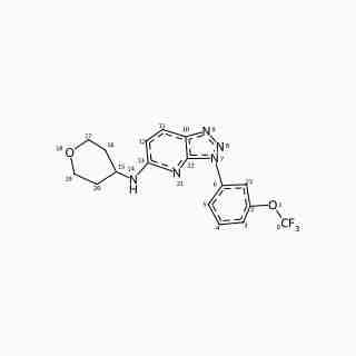 FC(F)(F)Oc1cccc(-n2nnc3ccc(NC4CCOCC4)nc32)c1